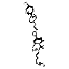 Cc1cc(OCCCC2CCN(c3ncc(Cl)cn3)CC2)cc(C)c1C(=O)NCCCCN